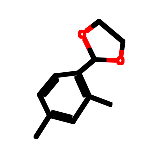 Cc1ccc(C2OCCO2)c(C)c1